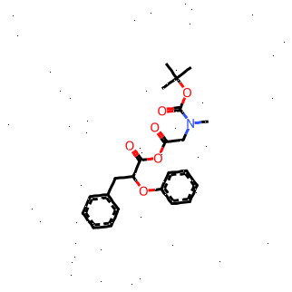 CN(CC(=O)OC(=O)C(Cc1ccccc1)Oc1ccccc1)C(=O)OC(C)(C)C